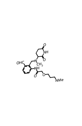 CNCCCOCC(=O)Nc1cccc(C=O)c1CN(C)C1CCC(=O)NC1=O